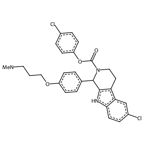 CNCCCOc1ccc(C2c3[nH]c4ccc(Cl)cc4c3CCN2C(=O)Oc2ccc(Cl)cc2)cc1